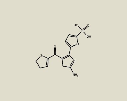 Nc1nc(-c2ccc(P(=O)(O)O)o2)c(C(=O)C2=CCCS2)s1